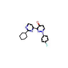 O=c1ccn(-c2ccc(F)cc2)nc1-c1ccnc(C2CCCCC2)n1